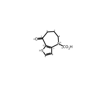 O=C1CCCN(C(=O)O)c2ccsc21